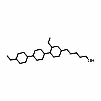 CCC1CCC(C2CCC(C3CCC(CCCCCO)CC3CC)CC2)CC1